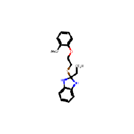 COc1ccccc1OCCSC1(CC(=O)O)Nc2ccccc2N1